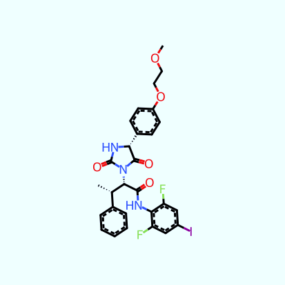 COCCOc1ccc([C@H]2NC(=O)N([C@H](C(=O)Nc3c(F)cc(I)cc3F)[C@@H](C)c3ccccc3)C2=O)cc1